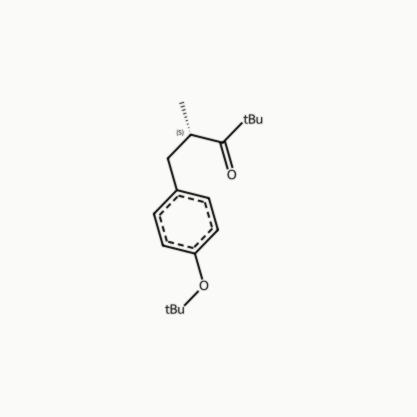 C[C@@H](Cc1ccc(OC(C)(C)C)cc1)C(=O)C(C)(C)C